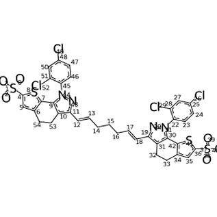 O=S(=O)(O)c1cc2c(s1)-c1c(c(/C=C/CCC/C=C/c3nn(-c4ccc(Cl)cc4Cl)c4c3CCc3cc(S(=O)(=O)O)sc3-4)nn1-c1ccc(Cl)cc1Cl)CC2